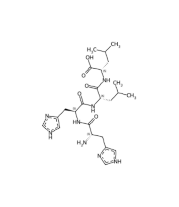 CC(C)C[C@H](NC(=O)[C@H](CC(C)C)NC(=O)[C@H](Cc1c[nH]cn1)NC(=O)[C@@H](N)Cc1c[nH]cn1)C(=O)O